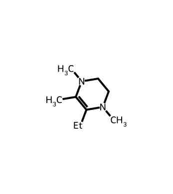 CCC1=C(C)N(C)CCN1C